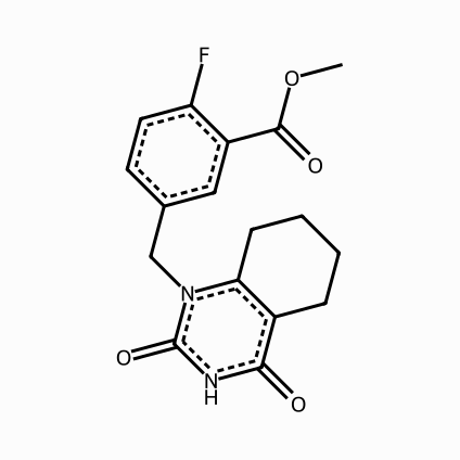 COC(=O)c1cc(Cn2c3c(c(=O)[nH]c2=O)CCCC3)ccc1F